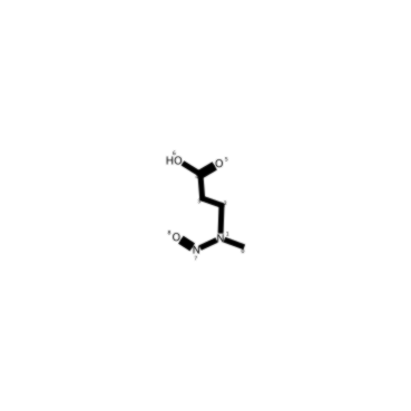 CN(CCC(=O)O)N=O